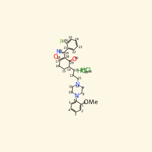 COc1ccccc1N1CCN(CCCC2CCc3onc(-c4ccccc4F)c3C2=O)CC1.Cl.Cl